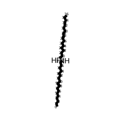 CCCCCCCCC=CCCCCCCCCNCCCCCCCCC=CCCCCCCCC.F